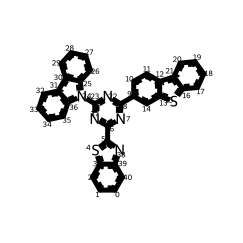 c1ccc2sc(-c3nc(-c4ccc5c(c4)sc4ccccc45)nc(-n4c5ccccc5c5ccccc54)n3)nc2c1